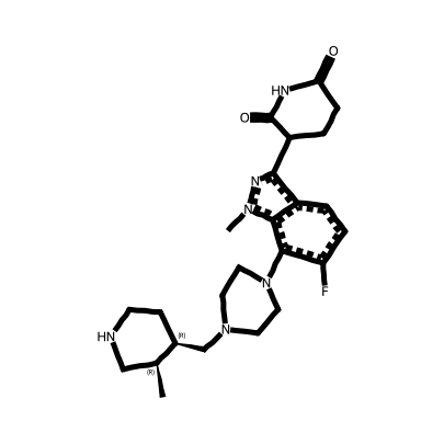 C[C@H]1CNCC[C@H]1CN1CCN(c2c(F)ccc3c(C4CCC(=O)NC4=O)nn(C)c23)CC1